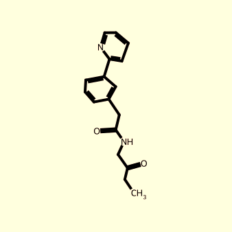 CCC(=O)CNC(=O)Cc1cccc(-c2ccccn2)c1